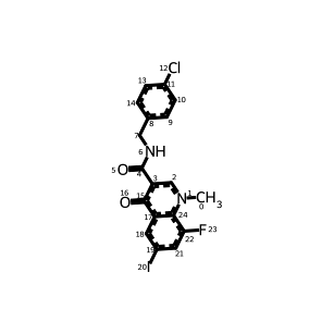 Cn1cc(C(=O)NCc2ccc(Cl)cc2)c(=O)c2cc(I)cc(F)c21